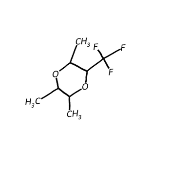 CC1OC(C)C(C(F)(F)F)OC1C